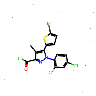 Cc1c(C(=O)Cl)nn(-c2ccc(Cl)cc2Cl)c1-c1ccc(Br)s1